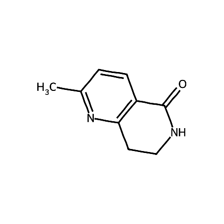 Cc1ccc2c(n1)CCNC2=O